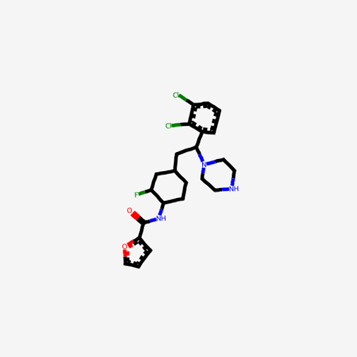 O=C(NC1CCC(CC(c2cccc(Cl)c2Cl)N2CCNCC2)CC1F)c1ccco1